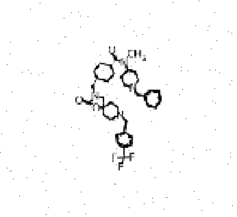 CN(C(=O)[C@H]1CC[C@H](CN2CC3(CCN(Cc4ccc(C(F)(F)F)cc4)CC3)OC2=O)CC1)C1CCN(Cc2ccccc2)CC1